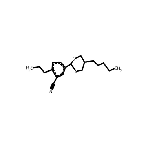 CCCCCC1CSC(c2ccc(CCC)c(C#N)c2)SC1